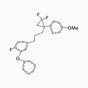 COc1ccc(C2(CCCc3ccc(F)c(Oc4ccccc4)c3)CC2(F)F)cc1